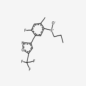 CCC[S+]([O-])c1cc(-c2cc(C(F)(F)F)on2)c(F)cc1C